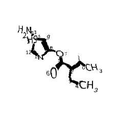 CC=C(CC)C(=O)OC1=C[SH](N)C=N1